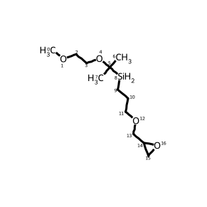 COCCOC(C)(C)[SiH2]CCCOCC1CO1